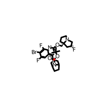 CC(C)(C)OC(=O)N1C2CCC1CN(c1nc(OC[C@@]34CCCN3C[C@H](F)C4)nc3c(F)c(Br)c(F)cc13)C2